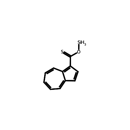 [SiH3]OC(=S)c1ccc2cccccc1-2